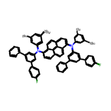 CC(C)(C)c1cc(N(c2cc(-c3ccccc3)cc(-c3ccc(F)cc3)c2)c2ccc3ccc4c(N(c5cc(-c6ccccc6)cc(-c6ccc(F)cc6)c5)c5cc(C(C)(C)C)cc(C(C)(C)C)c5)ccc5ccc2c3c54)cc(C(C)(C)C)c1